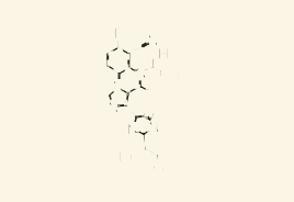 CC(CO)c1noc(-c2ncn3c2c(=O)n(C(C)C)c2c(C#N)c(F)ccc23)n1